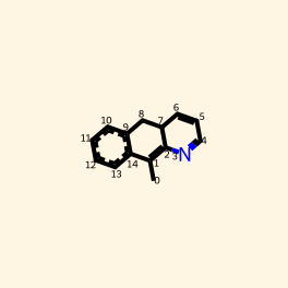 CC1=C2N=CC=CC2Cc2ccccc21